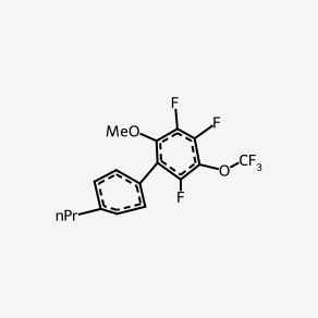 CCCc1ccc(-c2c(F)c(OC(F)(F)F)c(F)c(F)c2OC)cc1